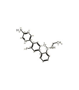 CCN[S+]([O-])c1ccccc1-c1ccc(-c2cnc(N)cn2)c(F)c1